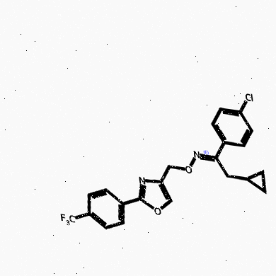 FC(F)(F)c1ccc(-c2nc(CO/N=C(\CC3CC3)c3ccc(Cl)cc3)co2)cc1